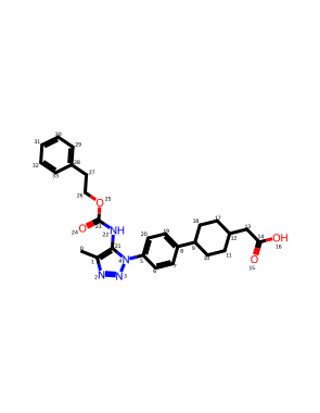 Cc1nnn(-c2ccc(C3CCC(CC(=O)O)CC3)cc2)c1NC(=O)OCCc1ccccc1